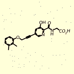 Cc1cccc(OCC#Cc2cnc(C(=O)NCC(=O)O)c(O)c2)c1C